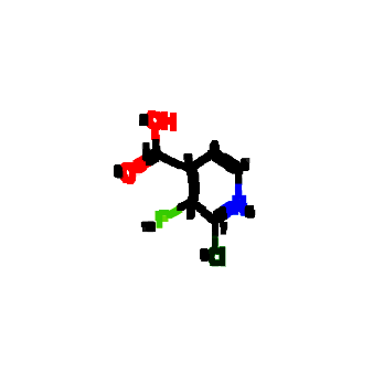 O=C(O)c1ccnc(Cl)c1F